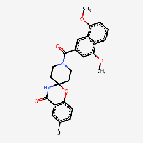 COc1cc(C(=O)N2CCC3(CC2)NC(=O)c2cc(C)ccc2O3)cc2c(OC)cccc12